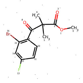 COC(=O)C(C)(C)C(=O)c1ccc(F)cc1Br